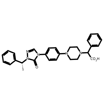 C[C@H](c1ccccc1)n1ncn(-c2ccc(N3CCN(C(C(=O)O)c4ccccc4)CC3)cc2)c1=O